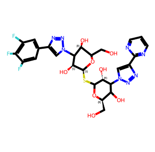 OCC1O[C@@H](SC2O[C@H](CO)C(O)C(n3cc(-c4ncccn4)nn3)[C@H]2O)[C@@H](O)C(n2cc(-c3cc(F)c(F)c(F)c3)nn2)[C@H]1O